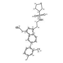 Cc1ccc(-c2ccc3c(c2)c(CC(C)(C)C)cn3CCNS(=O)(=O)C2CCCC2)c(C(F)(F)F)c1